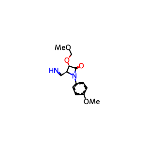 COCO[C@H]1C(=O)N(c2ccc(OC)cc2)[C@H]1C=N